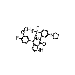 COc1cc(-c2nn(-c3cc(N4CCCC4)ccc3C(F)(F)F)c(=O)c3[nH]ccc23)ccc1F